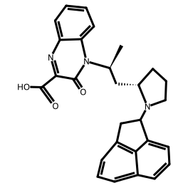 C[C@@H](C[C@@H]1CCCN1C1Cc2cccc3cccc1c23)n1c(=O)c(C(=O)O)nc2ccccc21